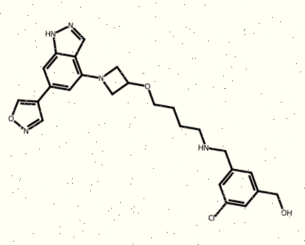 OCc1cc(Cl)cc(CNCCCCOC2CN(c3cc(-c4cnoc4)cc4[nH]ncc34)C2)c1